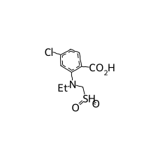 CCN(C[SH](=O)=O)c1cc(Cl)ccc1C(=O)O